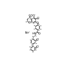 O=C(NCCc1ccc(-c2ccccc2Cl)cc1Cl)c1ccc(Oc2cc3c(cc2Cl)C(C(=O)[O-])CCO3)cc1.[Na+]